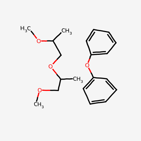 COCC(C)OCC(C)OC.c1ccc(Oc2ccccc2)cc1